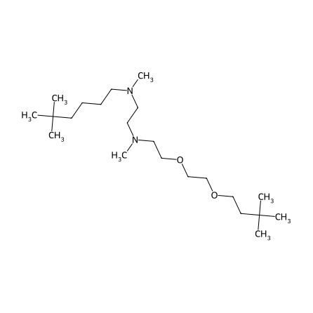 CN(CCCCC(C)(C)C)CCN(C)CCOCCOCCC(C)(C)C